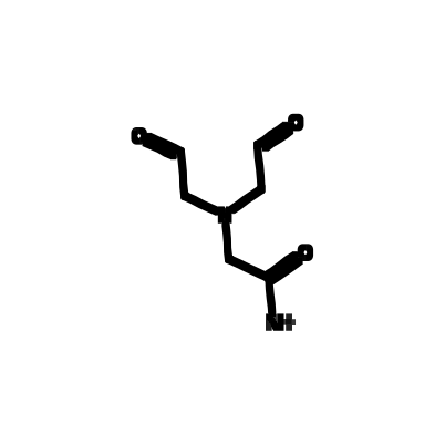 [NH]C(=O)CN(CC=O)CC=O